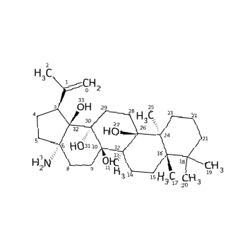 C=C(C)[C@@H]1CC[C@]2(N)CC[C@@]3(O)[C@]4(C)CC[C@@]5(C)C(C)(C)CCC[C@]5(C)[C@@]4(O)CC[C@]3(O)[C@@]12O